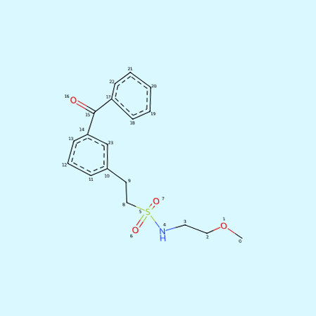 COCCNS(=O)(=O)CCc1cccc(C(=O)c2ccccc2)c1